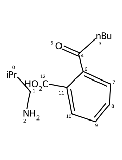 CC(C)CN.CCCCC(=O)c1ccccc1C(=O)O